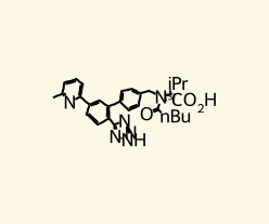 CCCCC(=O)N(Cc1ccc(-c2cc(-c3cccc(C)n3)ccc2-c2nn[nH]n2)cc1)[C@H](C(=O)O)C(C)C